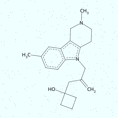 C=C(Cn1c2c(c3cc(C)ccc31)CN(C)CC2)CC1(O)CCC1